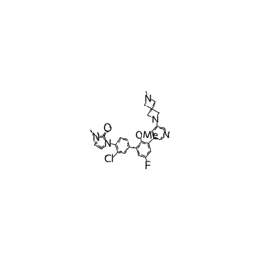 COc1c(-c2cncc(N3CC4(CN(C)C4)C3)c2)cc(F)cc1-c1ccc(-n2ccn(C)c2=O)c(Cl)c1